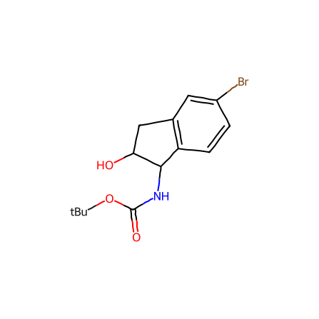 CC(C)(C)OC(=O)NC1c2ccc(Br)cc2CC1O